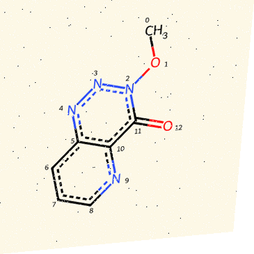 COn1nnc2cccnc2c1=O